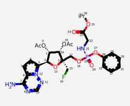 CC(=O)O[C@H]1[C@H](c2ccc3c(N)ncnn23)O[C@](CF)(CO[P@@](=O)(NCC(=O)OC(C)C)Oc2ccccc2)[C@H]1OC(C)=O